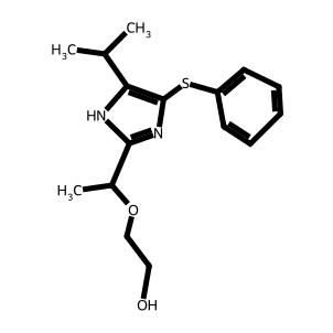 CC(C)c1[nH]c(C(C)OCCO)nc1Sc1ccccc1